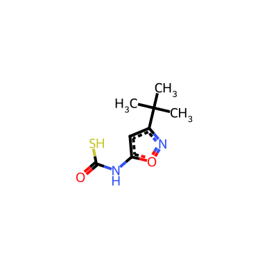 CC(C)(C)c1cc(NC(=O)S)on1